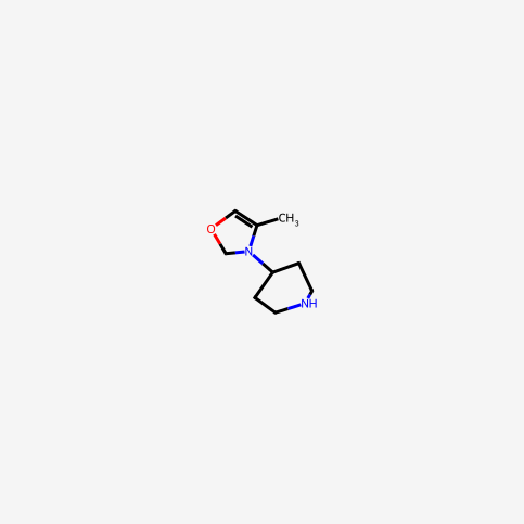 CC1=COCN1C1CCNCC1